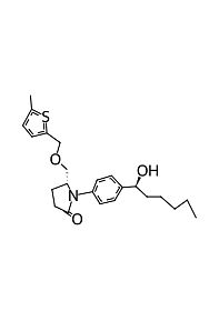 CCCCC[C@H](O)c1ccc(N2C(=O)CC[C@@H]2COCc2ccc(C)s2)cc1